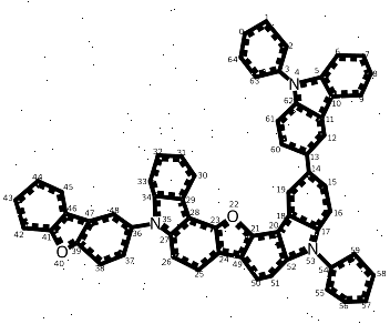 c1ccc(-n2c3ccccc3c3cc(-c4ccc5c(c4)c4c6oc7c(ccc8c7c7ccccc7n8-c7ccc8oc9ccccc9c8c7)c6ccc4n5-c4ccccc4)ccc32)cc1